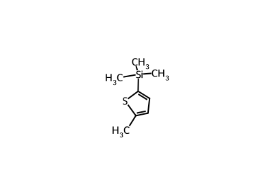 Cc1ccc([Si](C)(C)C)s1